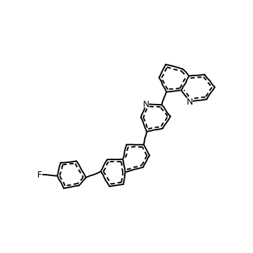 Fc1ccc(-c2ccc3ccc(-c4ccc(-c5cccc6cccnc56)nc4)cc3c2)cc1